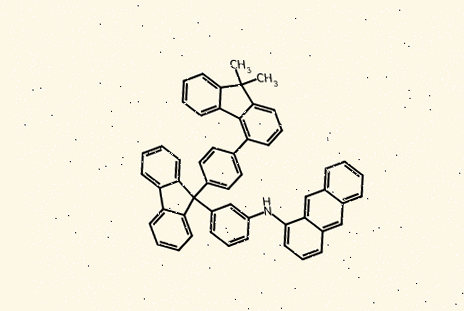 CC1(C)c2ccccc2-c2c(-c3ccc(C4(c5cccc(Nc6cccc7cc8ccccc8cc67)c5)c5ccccc5-c5ccccc54)cc3)cccc21